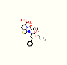 CCOC(=O)C(CCc1ccccc1)N[C@@H](C)C(=O)N1C(C(=O)O)CCC2SCCC21